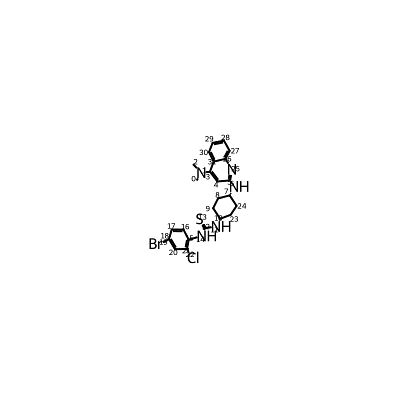 CN(C)c1cc(N[C@H]2CC[C@@H](NC(=S)Nc3ccc(Br)cc3Cl)CC2)nc2ccccc12